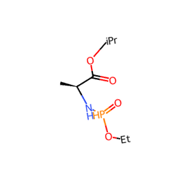 CCO[PH](=O)N[C@@H](C)C(=O)OC(C)C